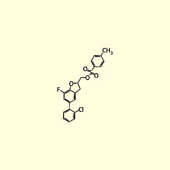 Cc1ccc(S(=O)(=O)OCC2Cc3cc(-c4ccccc4Cl)cc(F)c3O2)cc1